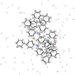 c1ccc(-c2ccc3c(c2)B2c4ccc(-c5ccccc5)cc4N(c4cccc([Si](c5ccccc5)(c5ccccc5)c5ccccc5)c4)c4cc(N5c6ccccc6Oc6ccccc65)cc(c42)N3c2cccc([Si](c3ccccc3)(c3ccccc3)c3ccccc3)c2)cc1